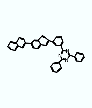 c1ccc(-c2nc(-c3ccccc3)nc(-c3cccc(-c4ccc5cc(-c6ccc7ccccc7c6)ccc5c4)c3)n2)cc1